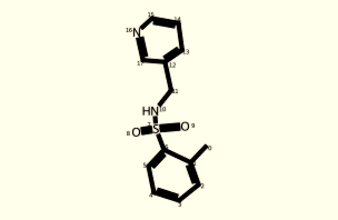 Cc1ccccc1S(=O)(=O)NCc1cccnc1